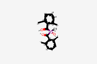 CCP(=O)(C(=O)c1c(C)cccc1C)C(=O)c1c(C)cccc1C